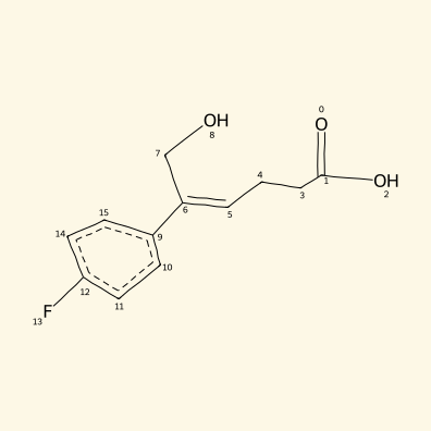 O=C(O)CCC=C(CO)c1ccc(F)cc1